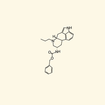 CCCN1C[C@@H](NC(=O)OCc2ccccc2)CC2c3cccc4[nH]cc(c34)C[C@H]21